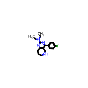 CCN(CC)c1nc2c(c(-c3ccc(F)cc3)n1)CNCCC2